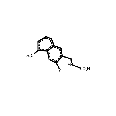 Cc1cccc2cc(CNC(=O)O)c(Cl)nc12